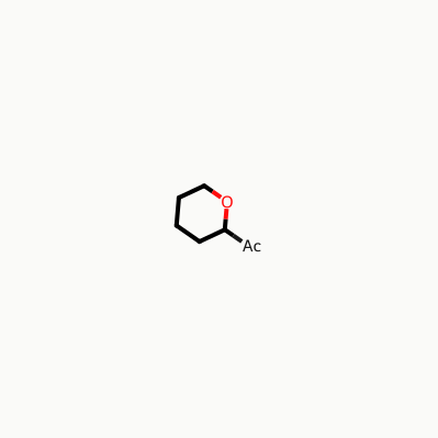 [CH2]C(=O)C1CCCCO1